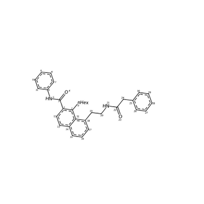 CCCCCCc1c(C(=O)Nc2ccccc2)ccc2cccc(CCNC(=O)Cc3ccccc3)c12